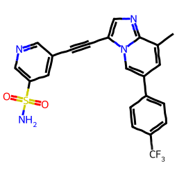 Cc1cc(-c2ccc(C(F)(F)F)cc2)cn2c(C#Cc3cncc(S(N)(=O)=O)c3)cnc12